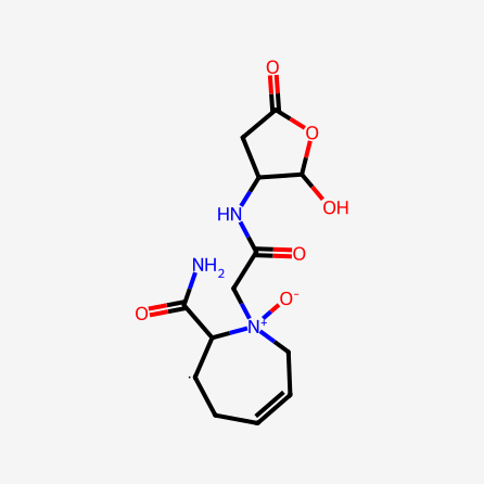 NC(=O)C1[CH]CC=CC[N+]1([O-])CC(=O)NC1CC(=O)OC1O